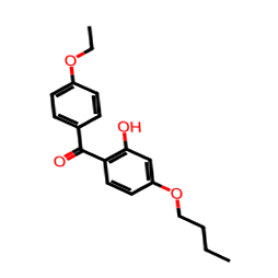 CCCCOc1ccc(C(=O)c2ccc(OCC)cc2)c(O)c1